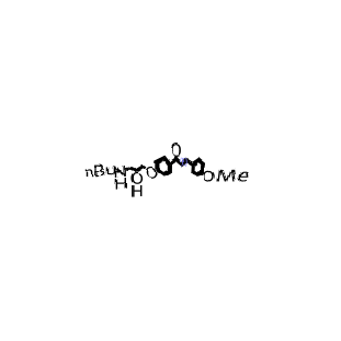 CCCCNCC(O)COc1ccc(C(=O)/C=C/c2ccc(OC)cc2)cc1